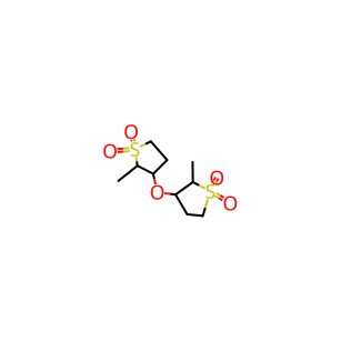 CC1C(OC2CCS(=O)(=O)C2C)CCS1(=O)=O